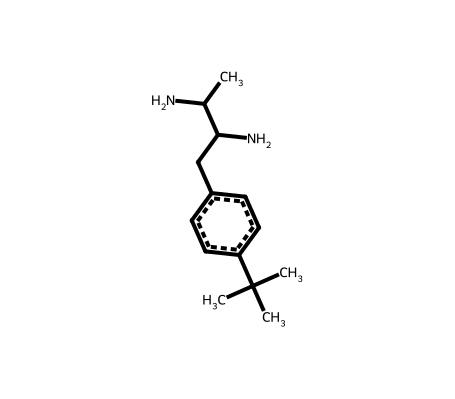 CC(N)C(N)Cc1ccc(C(C)(C)C)cc1